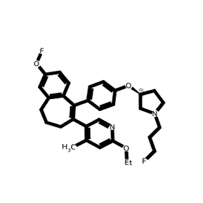 CCOc1cc(C)c(C2=C(c3ccc(O[C@H]4CCN(CCCF)C4)cc3)c3ccc(OF)cc3CCC2)cn1